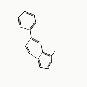 Nc1cccc2ccc(-c3ccccn3)nc12